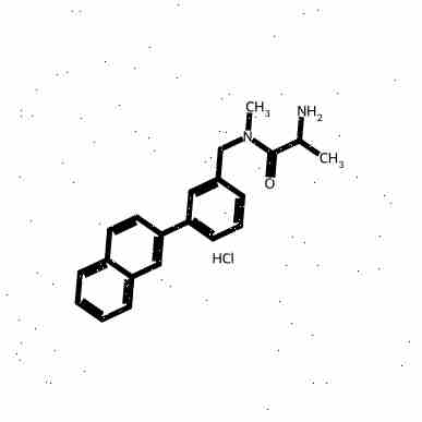 CC(N)C(=O)N(C)Cc1cccc(-c2ccc3ccccc3c2)c1.Cl